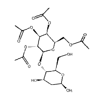 CC(=O)OC[C@H]1O[C@@H](O[C@H]2[C@H](O)C[C@H](O)O[C@@H]2CO)[C@H](OC(C)=O)[C@@H](OC(C)=O)[C@H]1OC(C)=O